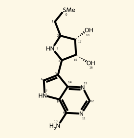 CSCC1NC(c2c[nH]c3c(N)ncnc23)[C@@H](O)[C@H]1O